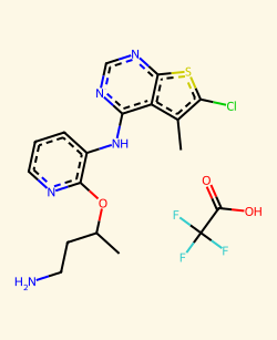 Cc1c(Cl)sc2ncnc(Nc3cccnc3OC(C)CCN)c12.O=C(O)C(F)(F)F